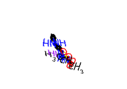 COC(=O)CCNC(=O)C1SC(=NC(=O)c2ccc(C(=N)Nc3ccccc3)cc2)N(C)C1C.I